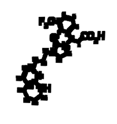 O=C(O)CC(c1cccc(C(F)(F)F)c1)N1CCN(CCCc2ccc3c(n2)NCCCC3)C1=O